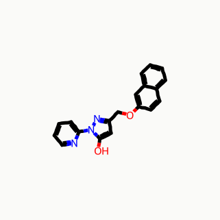 Oc1cc(COc2ccc3ccccc3c2)nn1-c1ccccn1